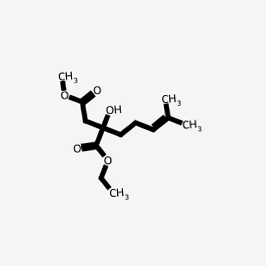 CCOC(=O)C(O)(CCC=C(C)C)CC(=O)OC